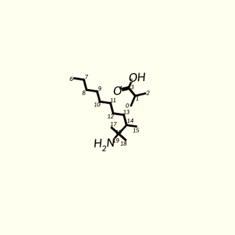 CC(C)C(=O)O.CCCCCCCCC(C)C(C)(C)N